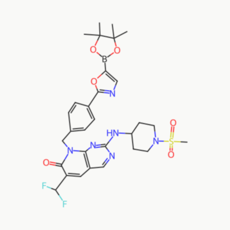 CC1(C)OB(c2cnc(-c3ccc(Cn4c(=O)c(C(F)F)cc5cnc(NC6CCN(S(C)(=O)=O)CC6)nc54)cc3)o2)OC1(C)C